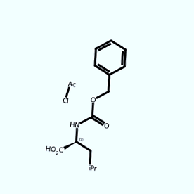 CC(=O)Cl.CC(C)C[C@H](NC(=O)OCc1ccccc1)C(=O)O